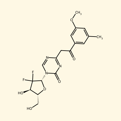 COc1cc(C)cc(C(=O)Cc2ncn([C@@H]3O[C@H](CO)[C@@H](O)C3(F)F)c(=O)n2)c1